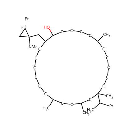 CC[C@H]1CC1(CC1CCCCCCC(C)CCC(C)CC(C)(C(C)C(C)C)CCCCCC(C)CCCCC1O)NC